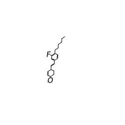 CCCCCCc1ccc(/C=C/C2C=CC(OC)CC2)cc1F